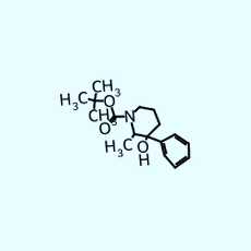 CC1N(C(=O)OC(C)(C)C)CCCC1(O)c1ccccc1